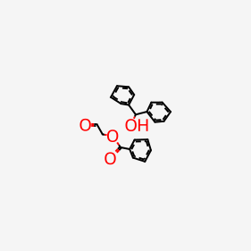 O=CCOC(=O)c1ccccc1.OC(c1ccccc1)c1ccccc1